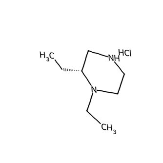 CC[C@@H]1CNCCN1CC.Cl